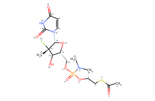 CC(=O)SCCOP(=O)(OC[C@H]1O[C@@H](n2ccc(=O)[nH]c2=O)[C@@](C)(F)C1O)N(C)C